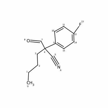 CCCCC(C#N)(C=O)c1ccc(F)cc1